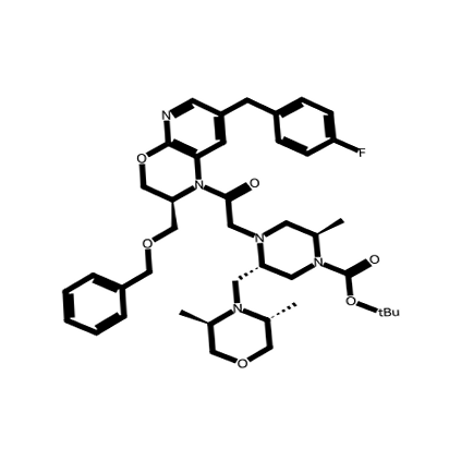 C[C@@H]1CN(CC(=O)N2c3cc(Cc4ccc(F)cc4)cnc3OC[C@@H]2COCc2ccccc2)[C@@H](CN2[C@H](C)COC[C@H]2C)CN1C(=O)OC(C)(C)C